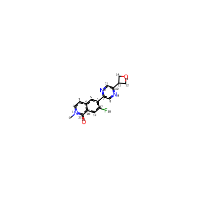 Cn1ccc2cc(-c3cnc(C4COC4)cn3)c(F)cc2c1=O